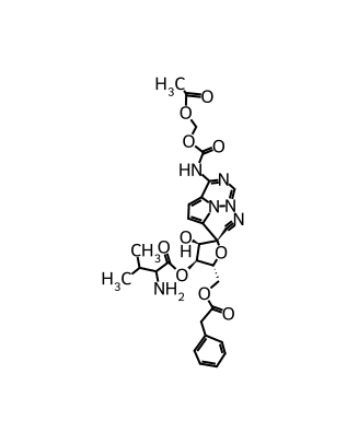 CC(=O)OCOC(=O)Nc1ncnn2c([C@]3(C#N)O[C@H](COC(=O)Cc4ccccc4)[C@@H](OC(=O)C(N)C(C)C)[C@H]3O)ccc12